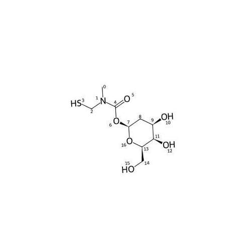 CN(CS)C(=O)O[C@H]1C[C@@H](O)[C@@H](O)[C@@H](CO)O1